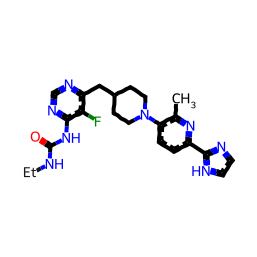 CCNC(=O)Nc1ncnc(CC2CCN(c3ccc(-c4ncc[nH]4)nc3C)CC2)c1F